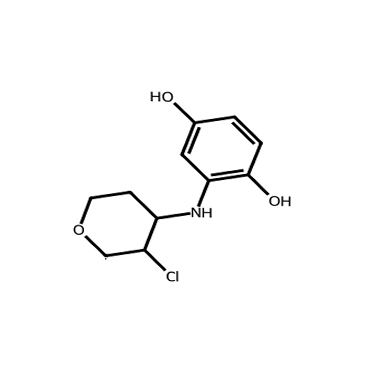 Oc1ccc(O)c(NC2CCO[CH]C2Cl)c1